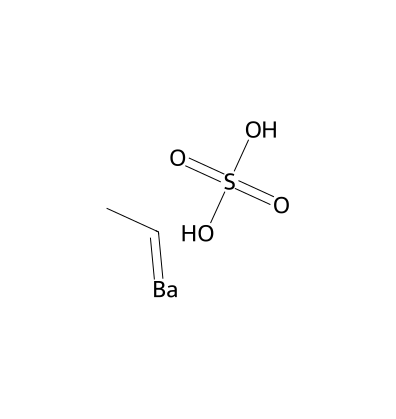 C[CH]=[Ba].O=S(=O)(O)O